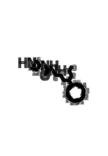 CCCC(CCCNC(=O)N[C@@H]1CCNC1)c1ccccccccc1